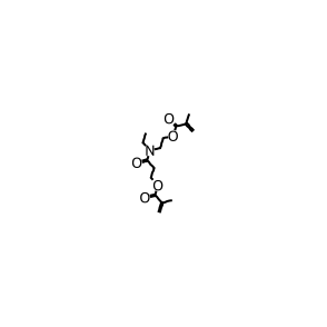 C=C(C)C(=O)OCCC(=O)N(CC)CCOC(=O)C(=C)C